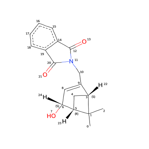 CC1(C)[C@@H]2C[C@H]1[C@H](O)C=C2CN1C(=O)c2ccccc2C1=O